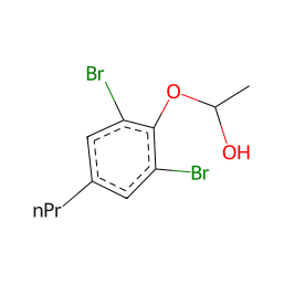 CCCc1cc(Br)c(OC(C)O)c(Br)c1